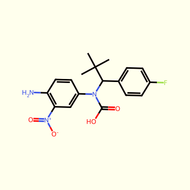 CC(C)(C)C(c1ccc(F)cc1)N(C(=O)O)c1ccc(N)c([N+](=O)[O-])c1